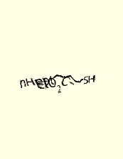 CCCCCCCCCCCCS.CCOC(C)=O